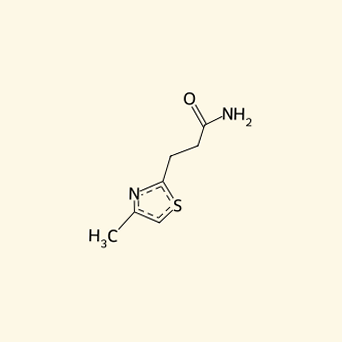 Cc1csc(CCC(N)=O)n1